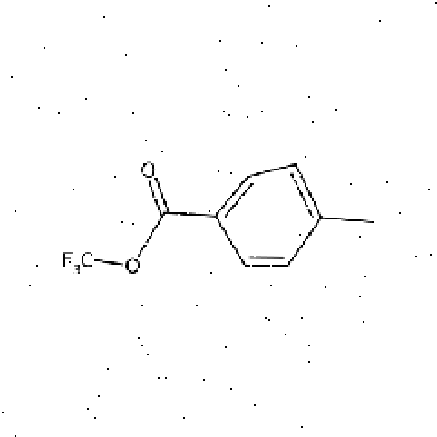 Cc1ccc(C(=O)OC(F)(F)F)cc1